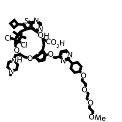 COCCOCCOCCOC1CCC(c2nccc(COc3ccc4cc3C[C@H](C(=O)O)Oc3ncnc5sc(C6CCC6)c(c35)-c3c(C)c(Cl)c(c(Cl)c3C)O[C@H](CN3CCN(C)CC3)CO4)n2)CC1